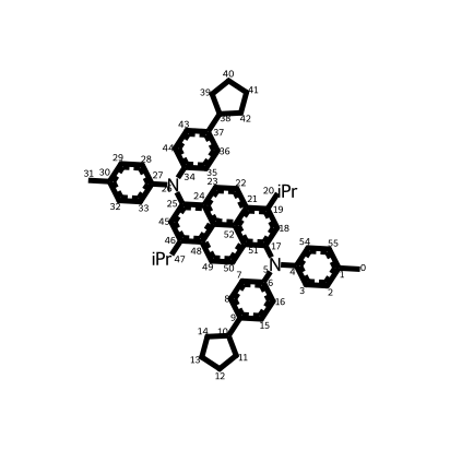 Cc1ccc(N(c2ccc(C3CCCC3)cc2)c2cc(C(C)C)c3ccc4c(N(c5ccc(C)cc5)c5ccc(C6CCCC6)cc5)cc(C(C)C)c5ccc2c3c54)cc1